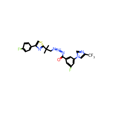 CC(C)(CN=[N+]=NC(=O)c1cc(F)cc(-n2cnc(C(F)(F)F)c2)c1)c1nc(-c2ccc(F)cc2)cs1